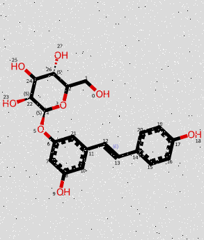 OCC1O[C@@H](Oc2cc(O)cc(/C=C/c3ccc(O)cc3)c2)[C@@H](O)C(O)[C@@H]1O